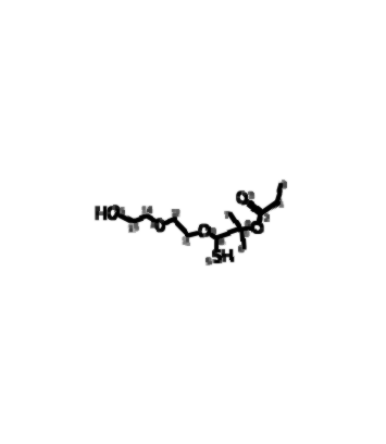 CCC(=O)OC(C)(C)C(S)OCCOCCO